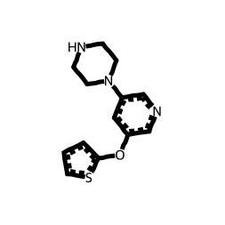 c1csc(Oc2cncc(N3CCNCC3)c2)c1